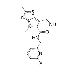 Cc1nc2c(s1)c(C=N)c(C(=O)NCc1cccc(F)n1)n2C